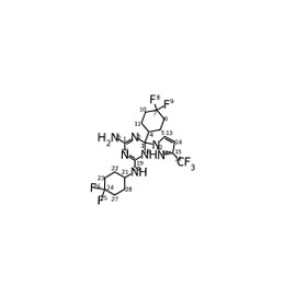 NC1=NC(C2CCC(F)(F)CC2)(n2ccc(C(F)(F)F)n2)NC(NC2CCC(F)(F)CC2)=N1